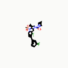 CS(=O)(=O)NC1C(Cc2cccc(-c3cccc(F)c3)c2F)N(C(=O)N2CCC2)CC12CC2